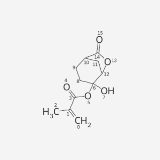 C=C(C)C(=O)OC1(O)CCC2CC1OC2=O